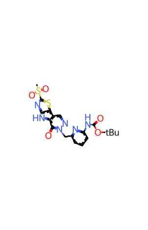 CC(C)(C)OC(=O)Nc1cccc(Cn2ncc3c([nH]c4nc(S(C)(=O)=O)sc43)c2=O)n1